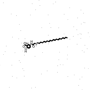 CCC=CCC=CCC=CCC=CCC=CCCCCSCC(=O)Nc1ccc(O)c(C(=O)O)c1